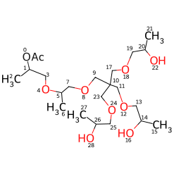 CC(=O)OC(C)COC(C)COCC(COCC(C)O)(COCC(C)O)COCC(C)O